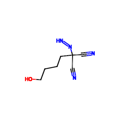 N#CC(C#N)(CCCCO)N=N